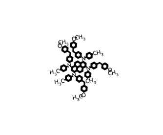 COc1ccc(Cc2ccc(N(c3ccc(C)cc3)c3cc(N(c4ccc(C)cc4)c4ccc(Cc5ccc(OC)cc5)cc4)c4ccc5c(N(c6ccc(C)cc6)c6ccc(Cc7ccc(OC)cc7)cc6)cc(N(c6ccc(C)cc6)c6ccc(Cc7ccc(OC)cc7)cc6)c6ccc3c4c65)cc2)cc1